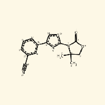 CC1(C)COC(=O)N1c1nc(-c2cccc(C#N)c2)cs1